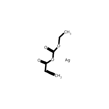 C=CC(=O)OC(=O)OCC.[Ag]